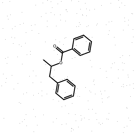 CC(Cc1ccccc1)OC(=O)c1ccccc1